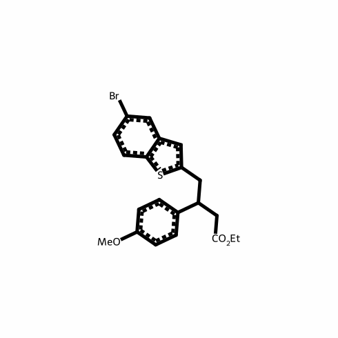 CCOC(=O)CC(Cc1cc2cc(Br)ccc2s1)c1ccc(OC)cc1